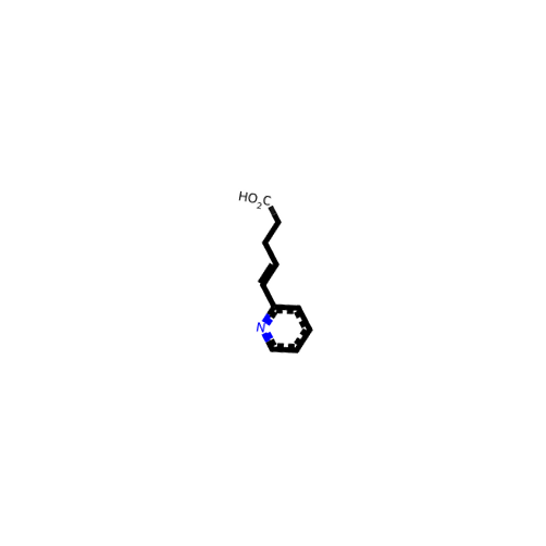 O=C(O)CC/C=C/c1ccccn1